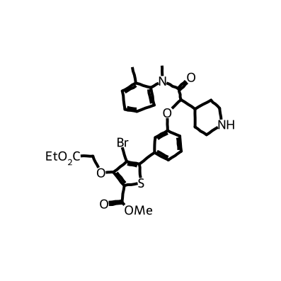 CCOC(=O)COc1c(C(=O)OC)sc(-c2cccc(OC(C(=O)N(C)c3ccccc3C)C3CCNCC3)c2)c1Br